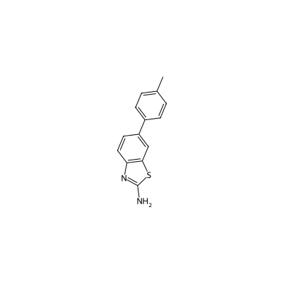 Cc1ccc(-c2ccc3nc(N)sc3c2)cc1